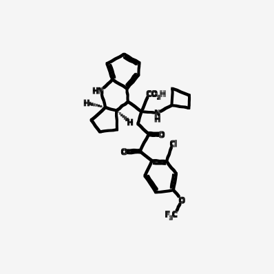 O=C(CC(NC1CCC1)(C(=O)O)C1c2ccccc2N[C@@H]2CCC[C@H]12)C(=O)c1ccc(OC(F)(F)F)cc1Cl